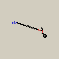 CCC(COCCCCCCCCCCCCCCCCNC)OCc1ccccc1